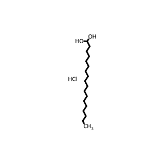 CCCCCCCCCCCCCCCCCC(O)O.Cl